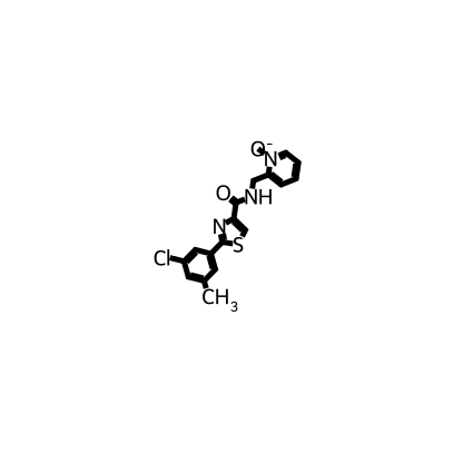 Cc1cc(Cl)cc(-c2nc(C(=O)NCc3cccc[n+]3[O-])cs2)c1